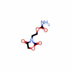 NC(=O)OCCN1C(=O)COC1=O